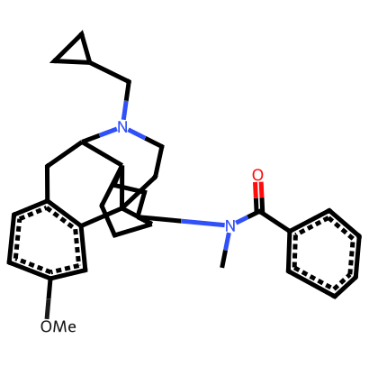 COc1ccc2c(c1)C13CCN(CC4CC4)C(C2)C12CCC(N(C)C(=O)c1ccccc1)C3CC2